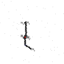 CCCCCCCC/C=C\CCCCCCCC(=O)C(C)(C)[N+](C)(C)CCCCCCCCCCCCCCCC(C)C